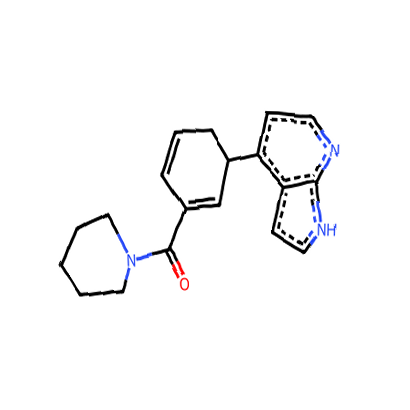 O=C(C1=CC(c2ccnc3[nH]ccc23)CC=C1)N1CCCCC1